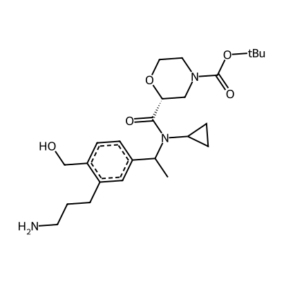 CC(c1ccc(CO)c(CCCN)c1)N(C(=O)[C@H]1CN(C(=O)OC(C)(C)C)CCO1)C1CC1